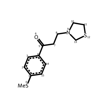 CSc1ccc(C(=O)CCN2CCSC2)cc1